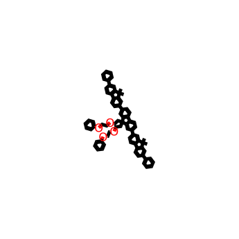 CC1(C)c2cc(-c3ccccc3)ccc2-c2ccc(-c3ccc4c(c3)C(CCOCCOc3ccccc3)(CCOCCOc3ccccc3)c3cc(-c5ccc6c(c5)C(C)(C)c5cc(-c7ccccc7)ccc5-6)ccc3-4)cc21